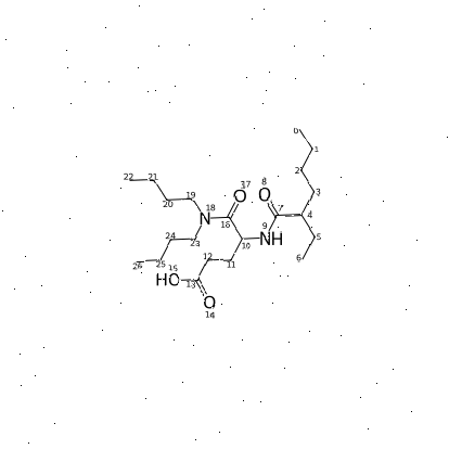 CCCCC(CC)C(=O)NC(CCC(=O)O)C(=O)N(CCCC)CCCC